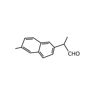 Cc1ccc2cc(C(C)C=O)ccc2c1